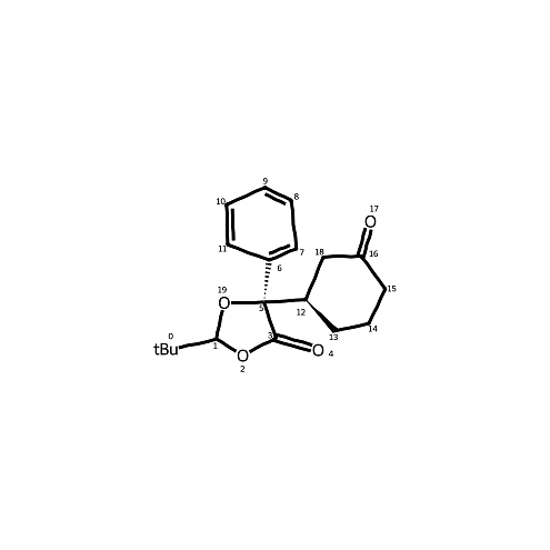 CC(C)(C)C1OC(=O)[C@](c2ccccc2)([C@@H]2CCCC(=O)C2)O1